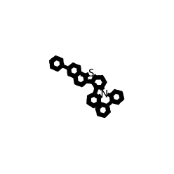 c1ccc(-c2ccc3c(ccc4c3sc3ccc5c(c6ccccc6n5-c5ccccc5-c5ccccc5)c34)c2)cc1